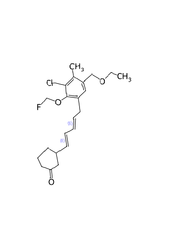 CCOCc1cc(C/C=C/C=C/C2CCCC(=O)C2)c(OCF)c(Cl)c1C